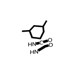 CC1CCCC(C)C1.N=C=O.N=C=O